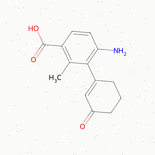 Cc1c(C(=O)O)ccc(N)c1C1=CC(=O)CCC1